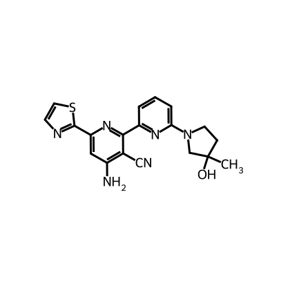 CC1(O)CCN(c2cccc(-c3nc(-c4nccs4)cc(N)c3C#N)n2)C1